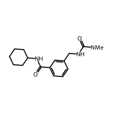 CNC(=O)NCc1cccc(C(=O)NC2CCCCC2)c1